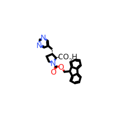 O=C(O)[C@H]1[C@@H](Cc2cncnc2)CCN1C(=O)OCC1c2ccccc2-c2ccccc21